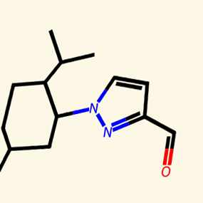 CC1CCC(C(C)C)C(n2ccc(C=O)n2)C1